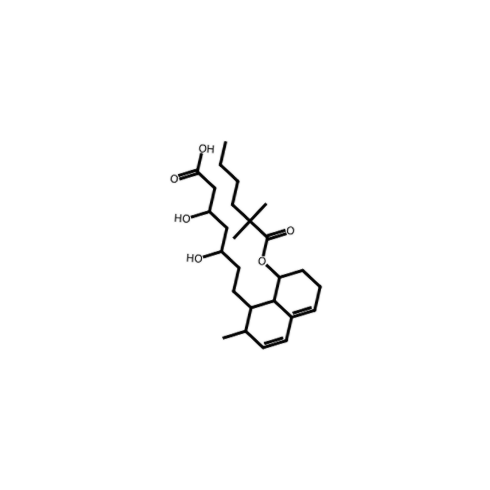 CCCCC(C)(C)C(=O)OC1CCC=C2C=CC(C)C(CCC(O)CC(O)CC(=O)O)C21